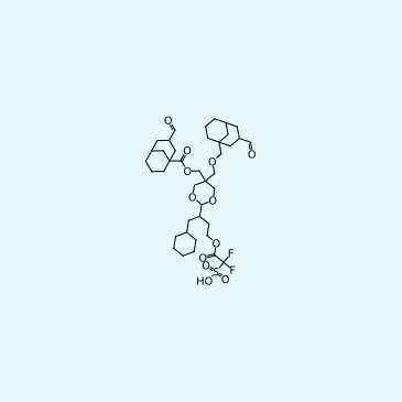 O=CC1CC2CCCC(COCC3(COC(=O)C45CCCC(CC(C=O)C4)C5)COC(C(CCOC(=O)C(F)(F)S(=O)(=O)O)CC4CCCCC4)OC3)(C1)C2